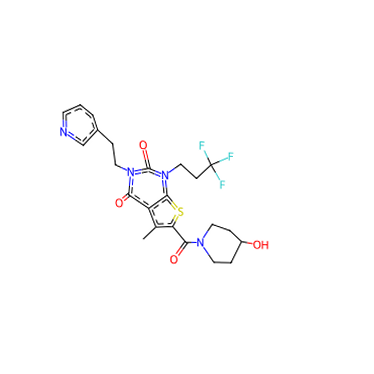 Cc1c(C(=O)N2CCC(O)CC2)sc2c1c(=O)n(CCc1cccnc1)c(=O)n2CCC(F)(F)F